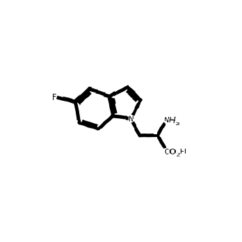 NC(Cn1ccc2cc(F)ccc21)C(=O)O